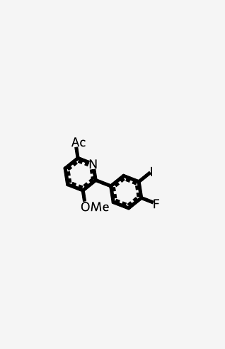 COc1ccc(C(C)=O)nc1-c1ccc(F)c(I)c1